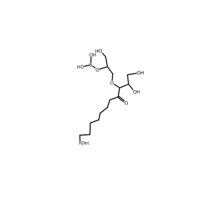 CCCCCCCCCCCCCCCCCC(=O)C(OCC(CO)OB(O)O)C(O)CO